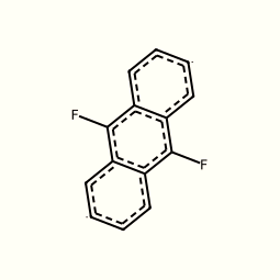 Fc1c2c[c]ccc2c(F)c2c[c]ccc12